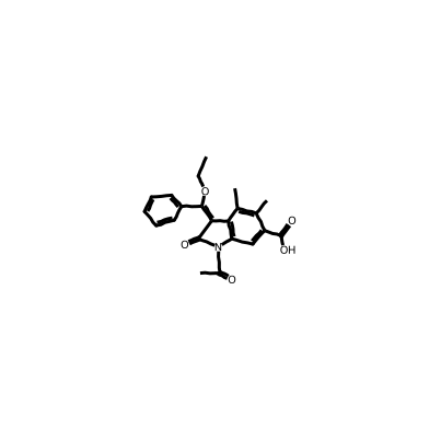 CCOC(=C1C(=O)N(C(C)=O)c2cc(C(=O)O)c(C)c(C)c21)c1ccccc1